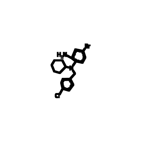 Nc1cc(Br)ccc1N(Cc1ccc(Cl)cc1)C1CCCCC1